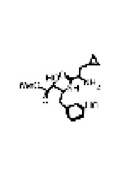 COC(=O)C(O)C(Cc1ccccc1)NC(=O)C(N)CC1CC1.Cl